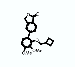 COc1ccc(-c2ccc3c(c2)COC3=O)c(OCC2CCC2)c1OC